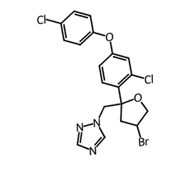 Clc1ccc(Oc2ccc(C3(Cn4cncn4)CC(Br)CO3)c(Cl)c2)cc1